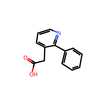 O=C(O)Cc1cccnc1-c1ccccc1